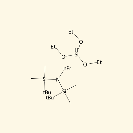 CCCN([Si](C)(C)C(C)(C)C)[Si](C)(C)C(C)(C)C.CCO[SiH](OCC)OCC